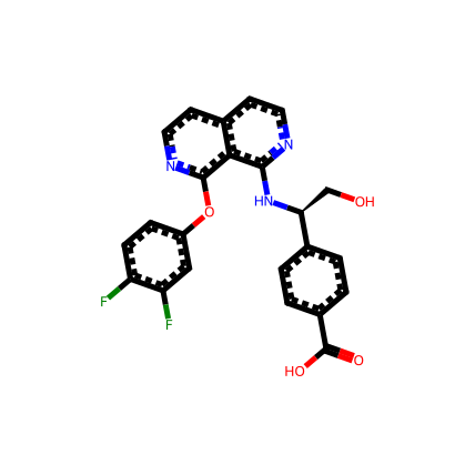 O=C(O)c1ccc([C@H](CO)Nc2nccc3ccnc(Oc4ccc(F)c(F)c4)c23)cc1